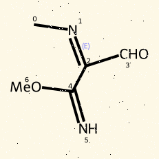 C/N=C(/C=O)C(=N)OC